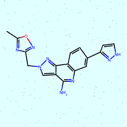 Cc1nc(Cn2cc3c(N)nc4cc(-c5cc[nH]n5)ccc4c3n2)no1